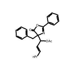 CCCC=CC(OC(C)=O)C1(Cc2ccccc2)N=C(c2ccccc2)OC1=O